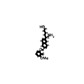 COc1cccc(OC[C@@H]2CCc3cc([C@H](CN)CCCCO)ccc3C2)c1F